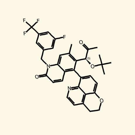 CC(=O)[C@@H](OC(C)(C)C)c1c(C)cc2c(ccc(=O)n2Cc2cc(F)cc(C(F)(F)F)c2)c1-c1ccc2c3c(ccnc13)CCO2